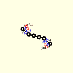 CC(C)(C)OC(=O)N1[C@@H]2CC[C@@H](C2)[C@H]1c1nc2ccc(-c3ccc(-c4ccc(-c5ccc6nc([C@@H]7[C@H]8CC[C@H](C8)N7C(=O)OC(C)(C)C)[nH]c6c5)cc4)cc3)cc2[nH]1